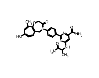 CC1=CC(O)=C=CC2=C1OCC(=O)N(c1ccc(-c3nc(NC(C)C(N)=O)cc(C(N)=O)n3)cc1)C2